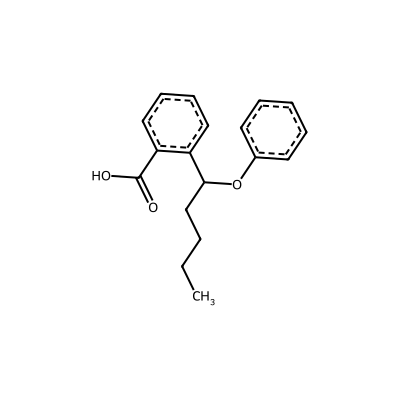 CCCCC(Oc1ccccc1)c1ccccc1C(=O)O